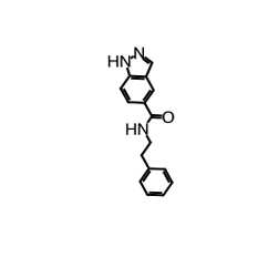 O=C(NCCc1ccccc1)c1ccc2[nH]ncc2c1